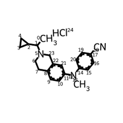 CC(C1CC1)N1CCc2ccc(N(C)c3ccc(C#N)cc3)cc2C1.Cl